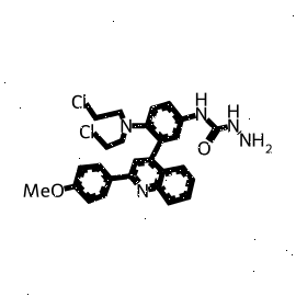 COc1ccc(-c2cc(-c3cc(NC(=O)NN)ccc3N(CCCl)CCCl)c3ccccc3n2)cc1